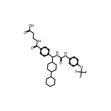 O=C(O)CCNC(=O)c1ccc(C(NC(=O)Nc2ccc(OC(F)(F)F)cc2)C2CCC(C3CCCCC3)CC2)cc1